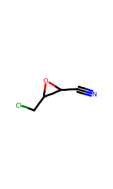 N#CC1OC1CCl